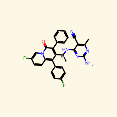 Cc1nc(N)nc(N[C@@H](C)c2c(-c3ccccc3)c(=O)n3cc(F)ccc3c2-c2ccc(F)cc2)c1C#N